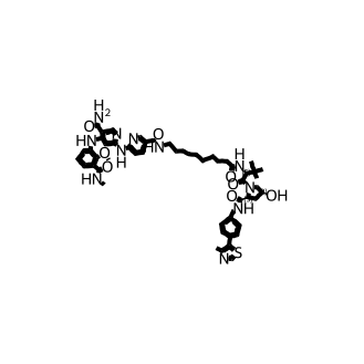 CNC(=O)c1cccc(Nc2cc(Nc3ccc(C(=O)NCCCCCCCCCC(=O)N[C@H](C(=O)N4C[C@H](O)C[C@H]4C(=O)NCc4ccc(-c5scnc5C)cc4)C(C)(C)C)cn3)ncc2C(N)=O)c1OC